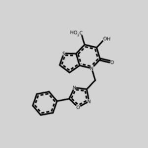 O=C(O)c1c(O)c(=O)n(Cc2noc(-c3ccccc3)n2)c2ccsc12